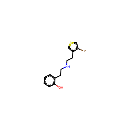 Oc1ccccc1CCNCCc1cscc1Br